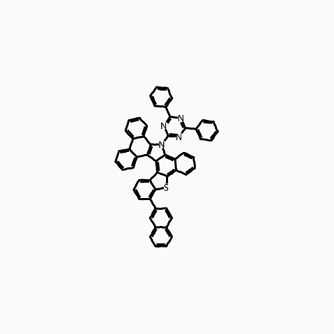 c1ccc(-c2nc(-c3ccccc3)nc(-n3c4c5ccccc5c5ccccc5c4c4c5c6cccc(-c7ccc8ccccc8c7)c6sc5c5ccccc5c43)n2)cc1